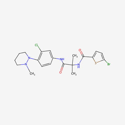 CN1CCCCN1c1ccc(NC(=O)C(C)(C)NC(=O)c2ccc(Br)s2)cc1Cl